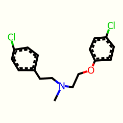 CN(CCOc1ccc(Cl)cc1)CCc1ccc(Cl)cc1